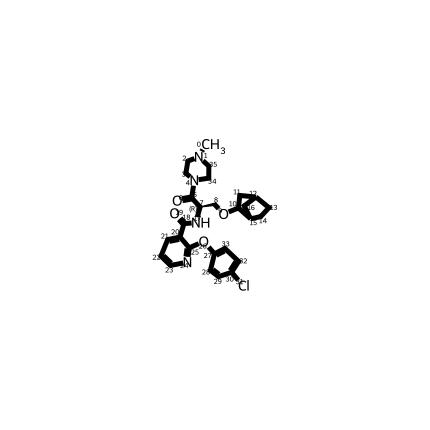 CN1CCN(C(=O)[C@@H](COC2CC3CCC2C3)NC(=O)c2cccnc2Oc2ccc(Cl)cc2)CC1